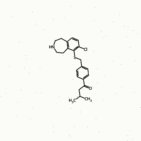 CC(C)CC(=O)c1ccc(CSc2c(Cl)ccc3c2CCNCC3)cc1